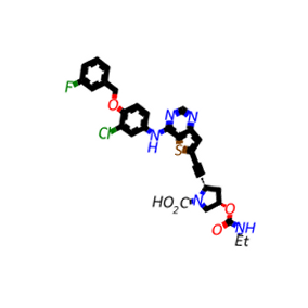 CCNC(=O)O[C@@H]1C[C@@H](C#Cc2cc3ncnc(Nc4ccc(OCc5cccc(F)c5)c(Cl)c4)c3s2)N(C(=O)O)C1